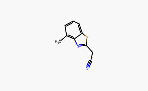 Cc1cccc2sc(CC#N)nc12